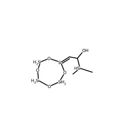 C[SiH](C)C(O)C=[Si]1O[SiH2]O[SiH2]O[SiH2]O1